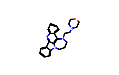 c1ccc2c3c4c(nc2c1)c1ccccc1n4CCCN3CCN1CCOCC1